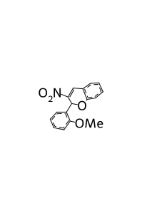 COc1ccccc1C1Oc2ccccc2C=C1[N+](=O)[O-]